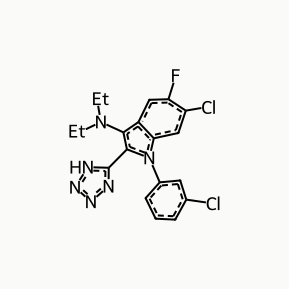 CCN(CC)c1c(-c2nnn[nH]2)n(-c2cccc(Cl)c2)c2cc(Cl)c(F)cc12